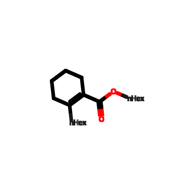 CCCCCCOC(=O)C1=C(CCCCCC)CCCC1